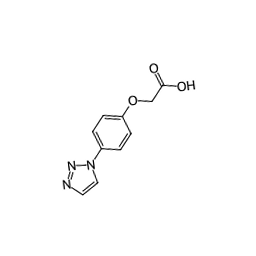 O=C(O)COc1ccc(-n2ccnn2)cc1